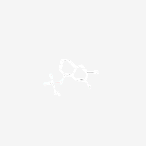 N#Cc1cc2cccc(OS(=O)(=O)C(F)(F)F)c2cc1F